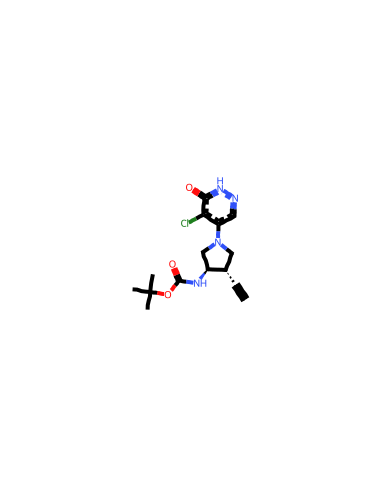 C#C[C@H]1CN(c2cn[nH]c(=O)c2Cl)C[C@@H]1NC(=O)OC(C)(C)C